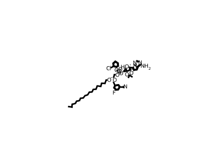 CCCCCCCCCCCCCCCCCCCOC[C@H](COP(=O)(Oc1ccccc1Cl)OC1[C@H]2O[C@@](C)(c3ccc4c(N)ncnn34)[C@@H]3OC(C)(C)O[C@]123)OCc1cc(F)cc(C#N)c1